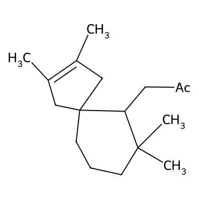 CC(=O)CC1C(C)(C)CCCC12CC(C)=C(C)C2